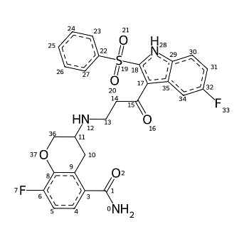 NC(=O)c1ccc(F)c2c1CC(NCCC(=O)c1c(S(=O)(=O)c3ccccc3)[nH]c3ccc(F)cc13)CO2